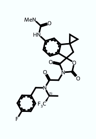 CNC(=O)Nc1ccc2c(c1)C1(CC1)CC21OC(=O)N(CC(=O)N(Cc2ccc(F)cc2)[C@@H](C)C(F)(F)F)C1=O